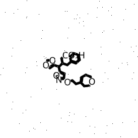 O=C(O)CC(Cc1ccccc1)C(C1=COCO1)c1cc(OCCC2=CCCOCC2)no1